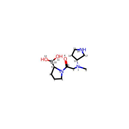 CN(CC(=O)N1CCC[C@H]1B(O)O)[C@@H]1CCNC1